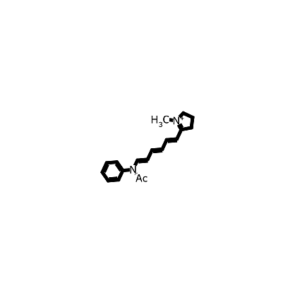 CC(=O)N(/C=C/C=C/C=C/C1=[N+](C)CCC1)c1ccccc1